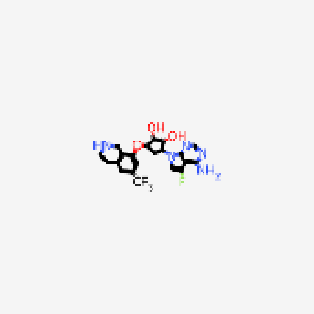 Nc1ncnc2c1c(F)cn2C1CC(Oc2cc(C(F)(F)F)cc3c2CNCC3)[C@@H](O)[C@H]1O